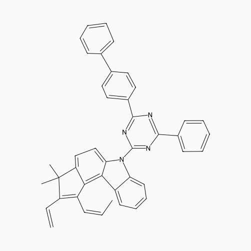 C=CC1=C(/C=C\C)c2c(ccc3c2c2ccccc2n3-c2nc(-c3ccccc3)nc(-c3ccc(-c4ccccc4)cc3)n2)C1(C)C